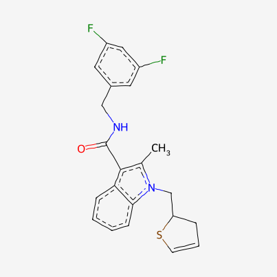 Cc1c(C(=O)NCc2cc(F)cc(F)c2)c2ccccc2n1CC1CC=CS1